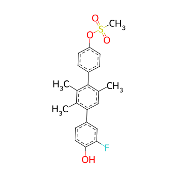 Cc1cc(-c2ccc(O)c(F)c2)c(C)c(C)c1-c1ccc(OS(C)(=O)=O)cc1